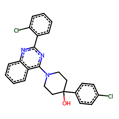 OC1(c2ccc(Cl)cc2)CCN(c2nc(-c3ccccc3Cl)nc3ccccc23)CC1